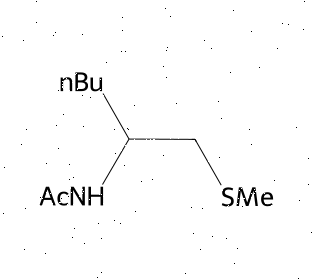 CCCCC(CSC)NC(C)=O